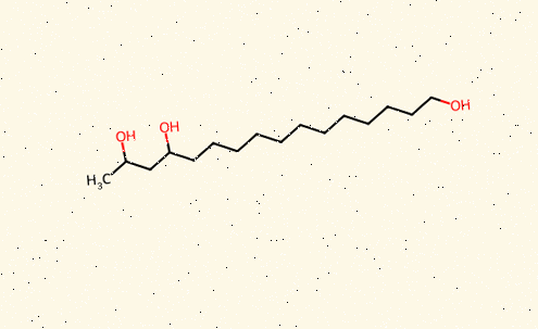 CC(O)CC(O)CCCCCCCCCCCCO